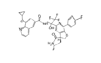 NC(=O)[C@@]1(CCF)COc2c1cc(C(O)(CNC(=O)c1cc(OC3CC3)c3ncccc3c1)C(F)(F)F)nc2-c1ccc(F)cc1